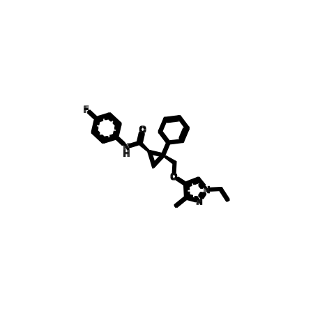 CCn1cc(OC[C@@]2(C3C=CC=CC3)C[C@H]2C(=O)Nc2ccc(F)cc2)c(C)n1